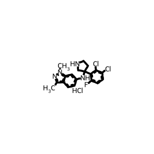 Cc1nn(C)c2cc(NC3(c4c(F)ccc(Cl)c4Cl)CCNC3)ccc12.Cl